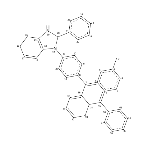 Cc1ccc2c(c1)=C(c1ccc(N3C4=C(CCC=C4)NC3c3ccccc3)cc1)C1=CC=CCC1C=2c1ccccc1